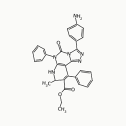 CCOC(=O)C1=C(c2ccccc2)c2c(n(-c3ccccc3)c(=O)n3c(-c4ccc(N)cc4)nnc23)NC1C